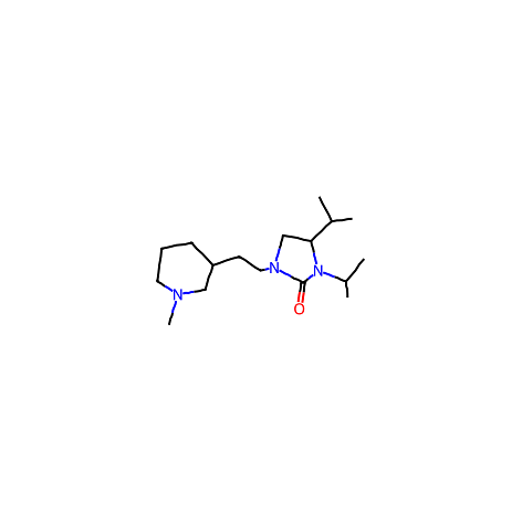 CC(C)C1CN(CCC2CCCN(C)C2)C(=O)N1C(C)C